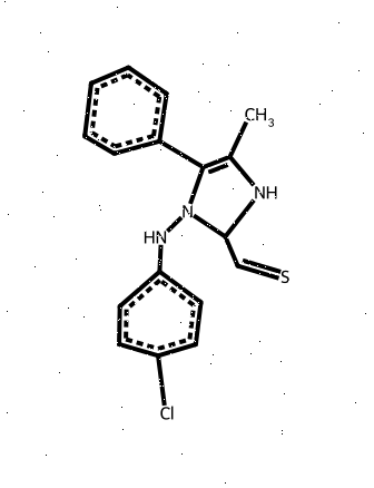 CC1=C(c2ccccc2)N(Nc2ccc(Cl)cc2)C(C=S)N1